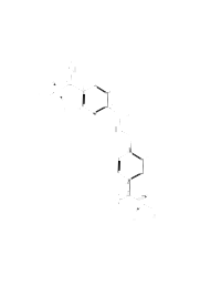 CS(=O)(=O)C(N)c1ccc(OBOc2ccc(C(N)S(C)(=O)=O)cc2)cc1